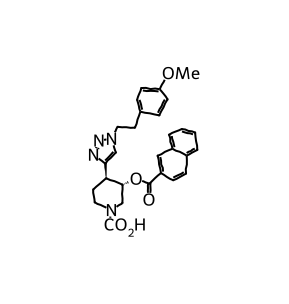 COc1ccc(CCn2cc([C@@H]3CCN(C(=O)O)C[C@H]3OC(=O)c3ccc4ccccc4c3)nn2)cc1